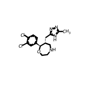 Cc1nnc(C[C@@H]2CNCCO[C@H]2c2ccc(Cl)c(Cl)c2)[nH]1